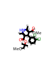 COCC(C)(C)OC(=O)C1=C(C)NC(C)=C(C(=O)OC)C1c1cccc(Cl)c1Cl